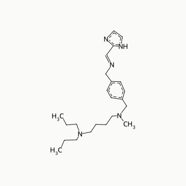 CCCN(CCC)CCCCN(C)Cc1ccc(CN=Cc2ncc[nH]2)cc1